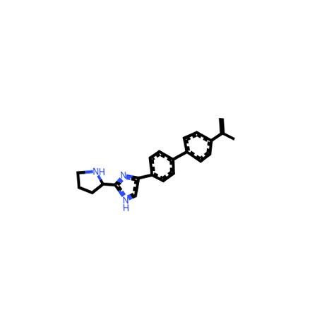 C=C(C)c1ccc(-c2ccc(-c3c[nH]c(C4CCCN4)n3)cc2)cc1